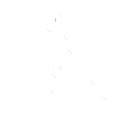 C[C@H]1Cn2c(c(C(=O)NCc3ccccc3-c3ncccn3)n(-c3ccc(N4CCN(C)CC4)cc3)c2=O)CN1C(=O)c1ccc(Br)c(C(F)(F)F)c1